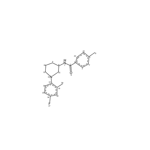 Cc1ccc(C(=O)NC2CCCN(c3ccc(F)cc3C)C2)cc1